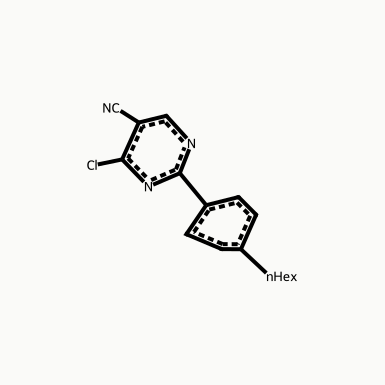 CCCCCCc1ccc(-c2ncc(C#N)c(Cl)n2)cc1